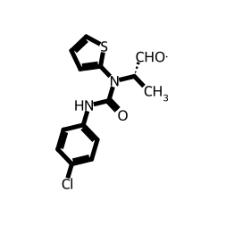 C[C@@H]([C]=O)N(C(=O)Nc1ccc(Cl)cc1)c1cccs1